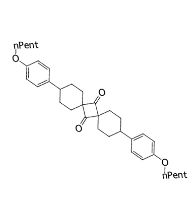 CCCCCOc1ccc(C2CCC3(CC2)C(=O)C2(CCC(c4ccc(OCCCCC)cc4)CC2)C3=O)cc1